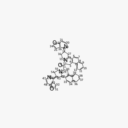 O=C(C(Cc1cccc2ccccc12)N1CCC(c2nccc3occc23)CC1)C(Cc1cccc2ccccc12)N1CCC(c2nccc3occc23)CC1